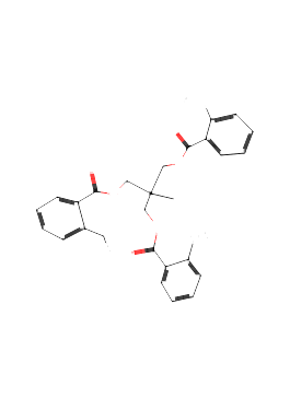 CC(=O)Cc1ccccc1C(=O)OCC(C)(COC(=O)c1ccccc1OC(C)=O)COC(=O)c1ccccc1OC(C)=O